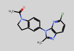 CC(=O)N1CCc2cc(-n3c(C)nc4ccc(Cl)nc43)ccc21